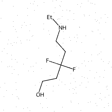 CCNCCC(F)(F)CCO